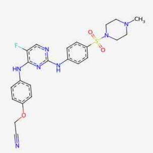 CN1CCN(S(=O)(=O)c2ccc(Nc3ncc(F)c(Nc4ccc(OCC#N)cc4)n3)cc2)CC1